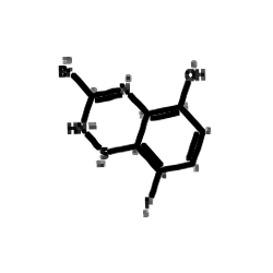 Oc1ccc(F)c2c1N=C(Br)NS2